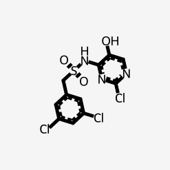 O=S(=O)(Cc1cc(Cl)cc(Cl)c1)Nc1nc(Cl)ncc1O